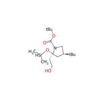 C[SiH](C)O[C@]1(CCO)C[C@H](C(C)(C)C)CN1C(=O)OC(C)(C)C